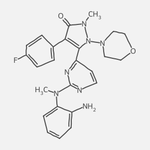 CN(c1nccc(-c2c(-c3ccc(F)cc3)c(=O)n(C)n2N2CCOCC2)n1)c1ccccc1N